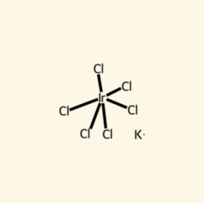 [Cl][Ir]([Cl])([Cl])([Cl])([Cl])[Cl].[K]